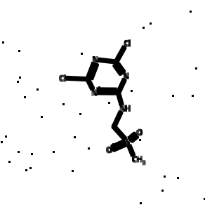 CS(=O)(=O)CNc1nc(Cl)nc(Cl)n1